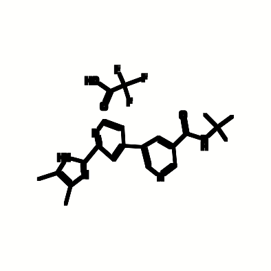 Cc1nc(-c2cc(-c3cncc(C(=O)NC(C)(C)C)c3)ccn2)[nH]c1C.O=C(O)C(F)(F)F